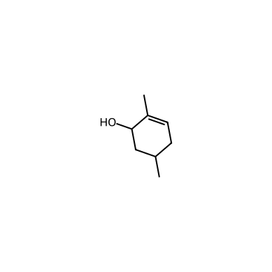 CC1=CCC(C)CC1O